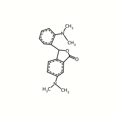 CN(C)c1ccc2c(c1)C(=O)OC2c1ccccc1N(C)C